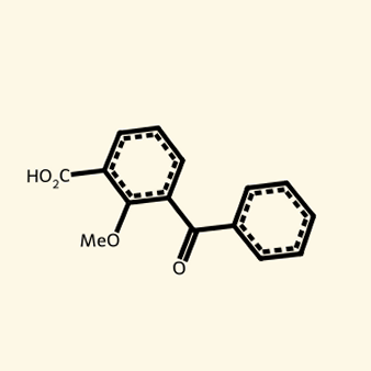 COc1c(C(=O)O)cccc1C(=O)c1ccccc1